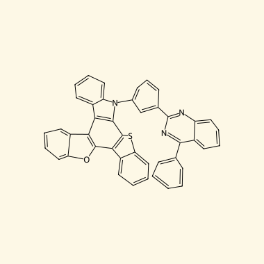 c1ccc(-c2nc(-c3cccc(-n4c5ccccc5c5c6c7ccccc7oc6c6c7ccccc7sc6c54)c3)nc3ccccc23)cc1